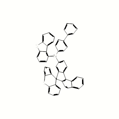 c1ccc(-c2ccc(N(c3ccc4c(c3)C3(c5ccccc5Sc5ccccc53)c3ccc5ccccc5c3-4)c3cccc4sc5ccccc5c34)cc2)cc1